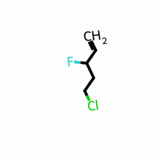 C=CC(F)CCCl